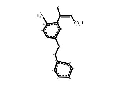 C/C(=C/C(=O)O)c1cc(SCc2ccccc2)ccc1N